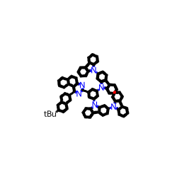 CC(C)(C)c1ccc2cc(-c3nc(-c4cc(-n5c6ccccc6c6ccc(-n7c8ccccc8c8ccccc87)cc65)cc(-n5c6ccccc6c6ccc(-n7c8ccccc8c8ccccc87)cc65)c4)nc4ccc5ccccc5c34)ccc2c1